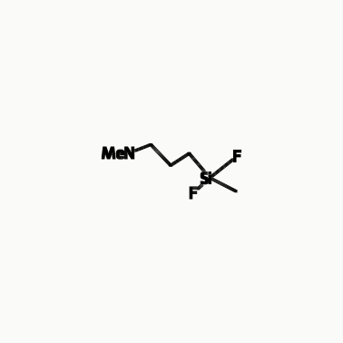 CNCCC[Si](C)(F)F